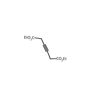 CCOC(=O)CC#CCC(=O)OCC